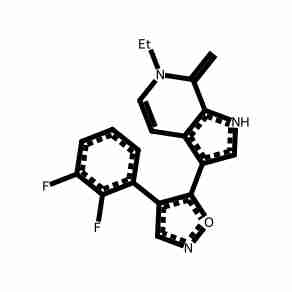 C=C1c2[nH]cc(-c3oncc3-c3cccc(F)c3F)c2C=CN1CC